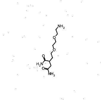 NCCOCCOCCC(CC(N)=O)C(N)=O